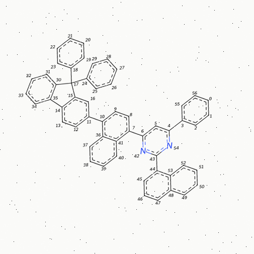 c1ccc(-c2cc(-c3ccc(-c4ccc5c(c4)C(c4ccccc4)(c4ccccc4)c4ccccc4-5)c4ccccc34)nc(-c3cccc4ccccc34)n2)cc1